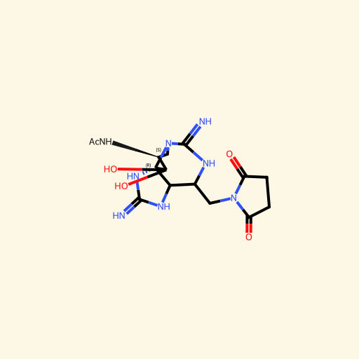 CC(=O)N[C@H]1CN2C(=N)NC(CN3C(=O)CCC3=O)C3NC(=N)N[C@]32C1(O)O